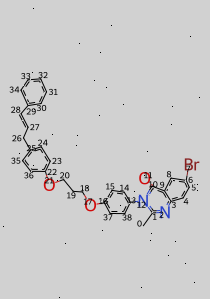 Cc1nc2ccc(Br)cc2c(=O)n1-c1ccc(OCCCOc2ccc(CC=Cc3ccccc3)cc2)cc1